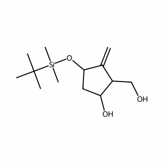 C=C1C(O[Si](C)(C)C(C)(C)C)CC(O)C1CO